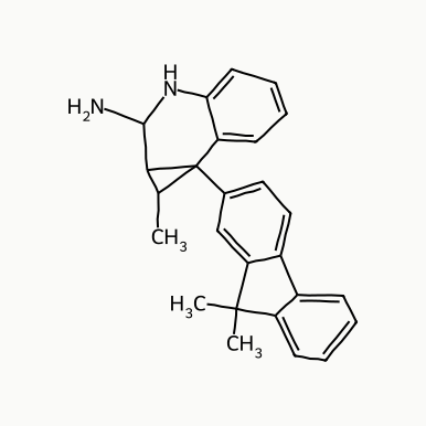 CC1C2C(N)Nc3ccccc3C12c1ccc2c(c1)C(C)(C)c1ccccc1-2